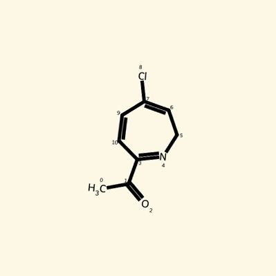 CC(=O)C1=NCC=C(Cl)C=C1